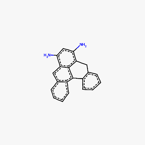 Nc1cc(N)c2cc3ccccc3c3c2c1Cc1ccccc1-3